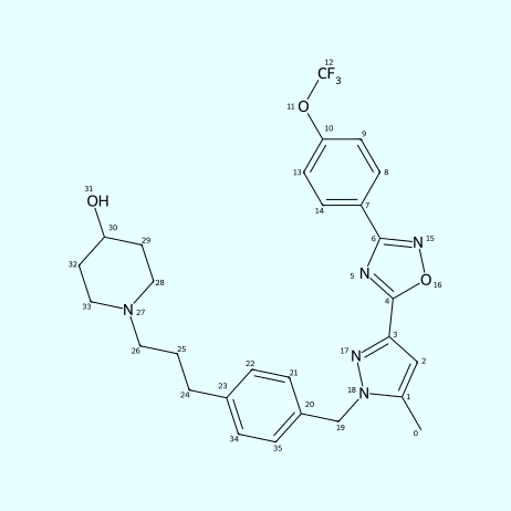 Cc1cc(-c2nc(-c3ccc(OC(F)(F)F)cc3)no2)nn1Cc1ccc(CCCN2CCC(O)CC2)cc1